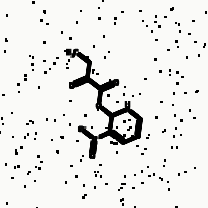 CCC(=O)C(=O)OC1NC=CC=C1[N+](=O)[O-]